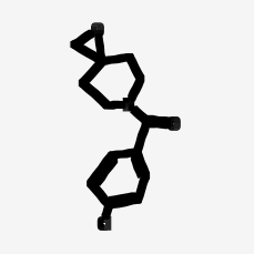 O=C(c1ccc(Cl)cc1)N1CCC2(CC1)CO2